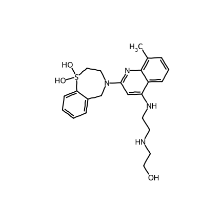 Cc1cccc2c(NCCNCCO)cc(N3CCS(O)(O)c4ccccc4C3)nc12